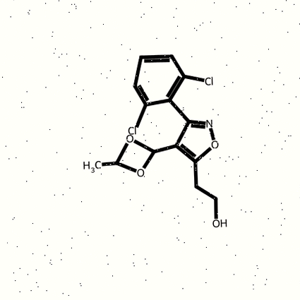 CC1OC(c2c(-c3c(Cl)cccc3Cl)noc2CCO)O1